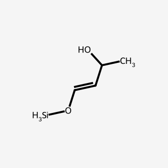 CC(O)/C=C/O[SiH3]